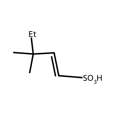 CCC(C)(C)C=CS(=O)(=O)O